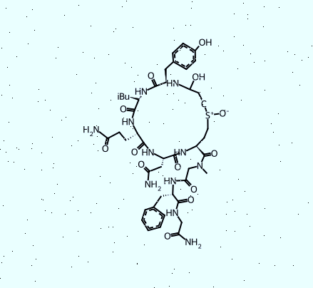 CC[C@H](C)[C@@H]1NC(=O)[C@@H](Cc2ccc(O)cc2)NC(O)CC[S+]([O-])CC[C@@H](C(=O)N(C)CC(=O)N[C@@H](Cc2ccccc2)C(=O)NCC(N)=O)NC(=O)[C@H](CC(N)=O)NC(=O)[C@H](CCC(N)=O)NC1=O